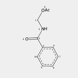 CC(=O)OCNC(=O)c1ccccc1